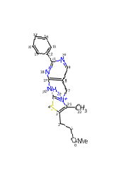 COCCc1sc[n+](Cc2cnc(-c3ccccc3)nc2N)c1C